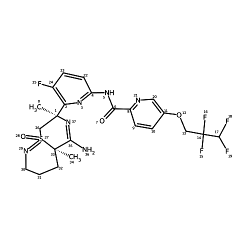 C[C@@]1(c2nc(NC(=O)c3ccc(OCC(F)(F)C(F)F)cn3)ccc2F)CS2(=O)=NCCC[C@]2(C)C(N)=N1